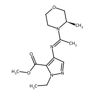 CCn1ncc(/N=C(\C)N2CCOC[C@H]2C)c1C(=O)OC